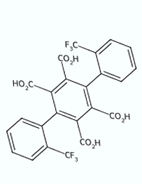 O=C(O)c1c(C(=O)O)c(-c2ccccc2C(F)(F)F)c(C(=O)O)c(C(=O)O)c1-c1ccccc1C(F)(F)F